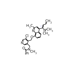 C=C/C=C(/c1cc(C)nc2c(OCc3c(Cl)cncc3CN(C)C(=O)C(C)C)cccc12)N(C)C